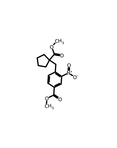 COC(=O)c1ccc(CC2(C(=O)OC)CCCC2)c([N+](=O)[O-])c1